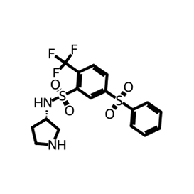 O=S(=O)(N[C@H]1CCNC1)c1cc(S(=O)(=O)c2ccccc2)ccc1C(F)(F)F